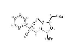 CCC[C@@H]1O[C@H](C[C@H](C)CC)[C@H](C)[C@H]1CS(=O)(=O)c1ccccc1